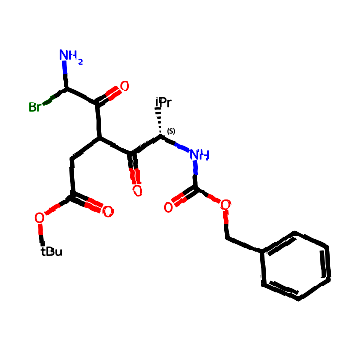 CC(C)[C@H](NC(=O)OCc1ccccc1)C(=O)C(CC(=O)OC(C)(C)C)C(=O)C(N)Br